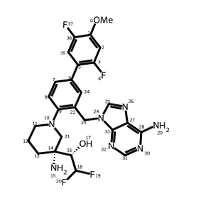 COc1cc(F)c(-c2ccc(N3CCC[C@](N)([C@H](O)C(F)F)C3)c(Cn3cnc4c(N)ncnc43)c2)cc1F